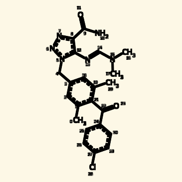 Cc1cc(Cn2nnc(C(N)=O)c2N=CN(C)C)cc(C)c1C(=O)c1ccc(Cl)cc1